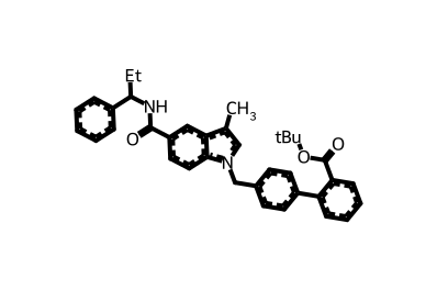 CCC(NC(=O)c1ccc2c(c1)c(C)cn2Cc1ccc(-c2ccccc2C(=O)OC(C)(C)C)cc1)c1ccccc1